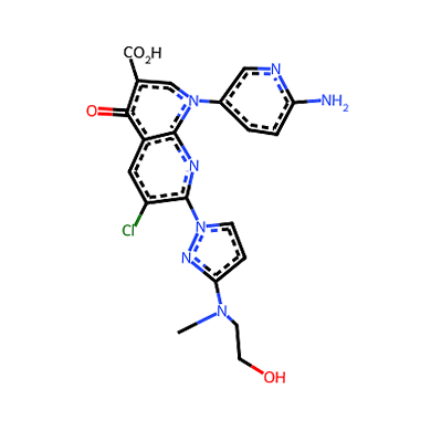 CN(CCO)c1ccn(-c2nc3c(cc2Cl)c(=O)c(C(=O)O)cn3-c2ccc(N)nc2)n1